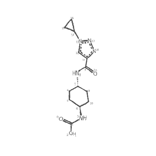 O=C(O)N[C@H]1CC[C@H](NC(=O)c2cn(C3CC3)nn2)CC1